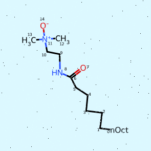 CCCCCCCCCCCCCC(=O)NCC[N+](C)(C)[O-]